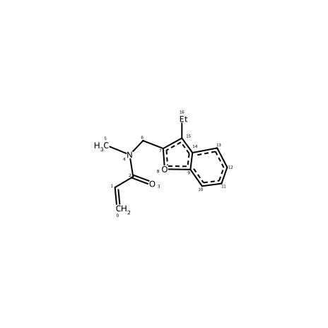 C=CC(=O)N(C)Cc1oc2ccccc2c1CC